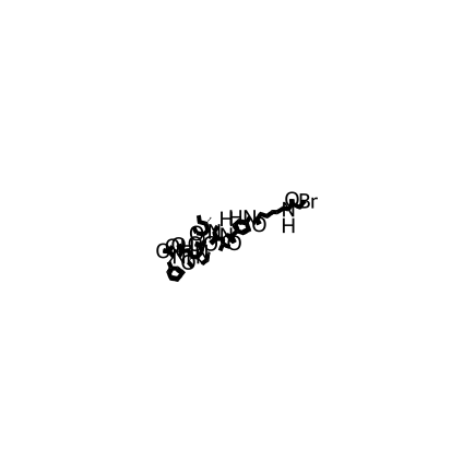 CC[C@H](C)[C@@H]([C@@H](CC(=O)N1CCC[C@H]1[C@H](OC)[C@@H](C)C(=O)N[C@@H](Cc1ccccc1)C(=O)O)OC)N(C)C(=O)[C@@H](NC(=O)c1ccc(NC(=O)CCCCCNC(=O)CBr)cc1)C(C)C